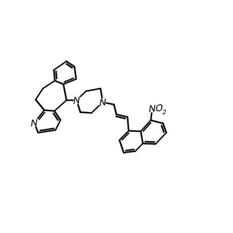 O=[N+]([O-])c1cccc2cccc(C=CCN3CCN(C4c5ccccc5CCc5ncccc54)CC3)c12